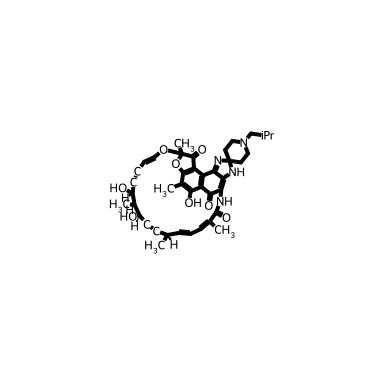 C/C1=C/C=C/[C@H](C)CC[C@@H](O)[C@@H](C)[C@H](O)CC/C=C/OC2(C)Oc3c(C)c(O)c4c(c3C2=O)C2=NC3(CCN(CC(C)C)CC3)NC2=C(NC1=O)C4=O